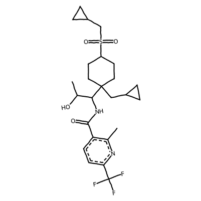 Cc1nc(C(F)(F)F)ccc1C(=O)NC(C(C)O)C1(CC2CC2)CCC(S(=O)(=O)CC2CC2)CC1